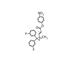 C[C@]1(/C=C/C(=O)Oc2ccc([N+](=O)[O-])cc2)CC1(c1cccc(F)c1)c1cccc(F)c1